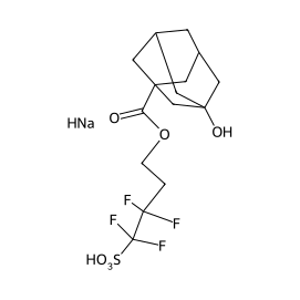 O=C(OCCC(F)(F)C(F)(F)S(=O)(=O)O)C12CC3CC(CC(O)(C3)C1)C2.[NaH]